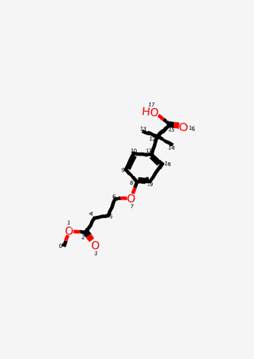 COC(=O)CCCOc1ccc(C(C)(C)C(=O)O)cc1